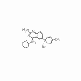 CCOC1(c2ccc3nc(N)nc(NC4CCCCC4)c3c2)C=CC(O)=CC1